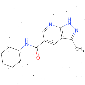 Cc1n[nH]c2ncc(C(=O)NC3CCCCC3)cc12